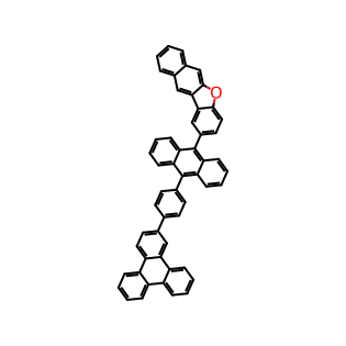 c1ccc2cc3c(cc2c1)oc1ccc(-c2c4ccccc4c(-c4ccc(-c5ccc6c7ccccc7c7ccccc7c6c5)cc4)c4ccccc24)cc13